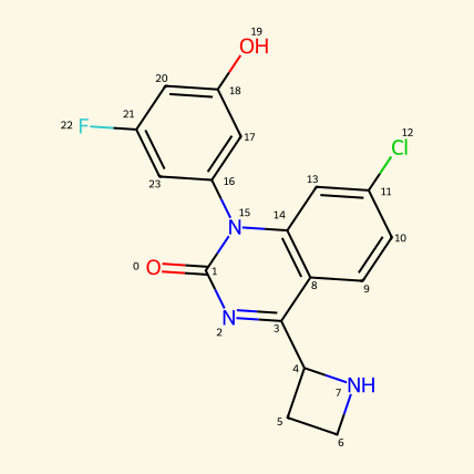 O=c1nc(C2CCN2)c2ccc(Cl)cc2n1-c1cc(O)cc(F)c1